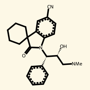 CNC[C@@H](O)[C@H](c1ccccc1)N1C(=O)C2(CCCCC2)c2cc(C#N)ccc21